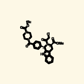 COC(=O)[C@H]1Cc2c([nH]c3ccccc23)[C@H](c2ccc(C(=O)N3CCN(C(=O)OC(C)(C)C)CC3)cc2)N1C(=O)CCl